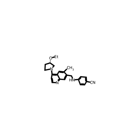 CCO[C@H]1CCN(c2ccnc3cc(CNc4ccc(C#N)cc4)c(C)cc23)C1